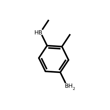 Bc1ccc(BC)c(C)c1